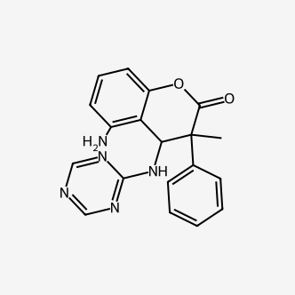 CC1(c2ccccc2)C(=O)Oc2cccc(N)c2C1Nc1ncncn1